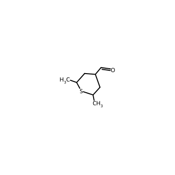 CC1CC(C=O)CC(C)S1